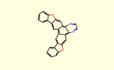 c1ccc2c(c1)oc1cc3c(cc12)c1cc2c(cc1c1nccnc31)oc1ccccc12